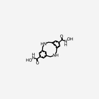 O=C(NO)c1cc2cc(c1)CNCc1cc(cc(C(=O)NO)c1)CNC2